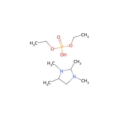 CC1CN(C)C(C)N1C.CCOP(=O)(O)OCC